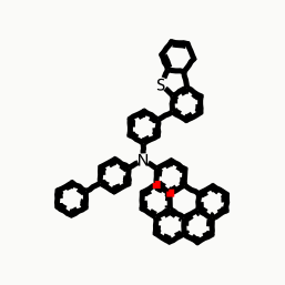 C1=CCC2C(=C1)Sc1c(-c3cccc(N(c4ccc(-c5ccccc5)cc4)c4ccc(-c5cccc6ccc7ccc8ccccc8c7c56)cc4)c3)cccc12